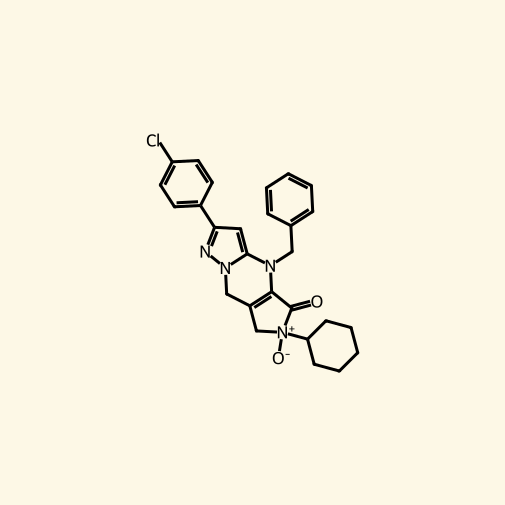 O=C1C2=C(Cn3nc(-c4ccc(Cl)cc4)cc3N2Cc2ccccc2)C[N+]1([O-])C1CCCCC1